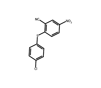 N#Cc1cc([N+](=O)[O-])ccc1Sc1ccc(Cl)cc1